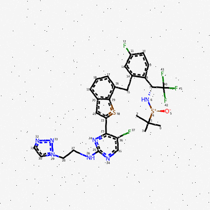 CC(C)(C)[S@+]([O-])N[C@H](c1ccc(F)cc1Cc1cccc2cc(-c3nc(NCCn4ccnn4)ncc3F)sc12)C(F)(F)F